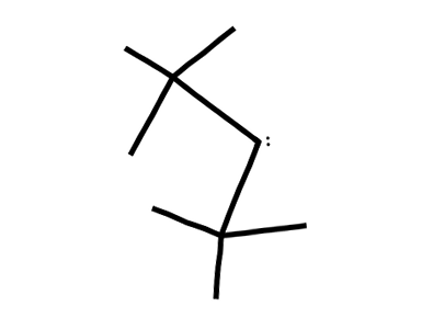 CC(C)(C)[C]C(C)(C)C